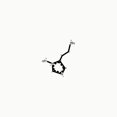 CCCn1cncc1CCC(C)(C)C